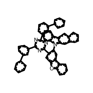 c1ccc(-c2cccc(-c3nc(-c4cccc(-c5ccccc5)c4)nc(-c4cc5oc6ccccc6c5cc4-n4c5ccccc5c5cc6ccccc6cc54)n3)c2)cc1